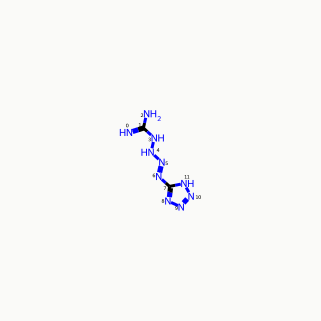 N=C(N)NNN=Nc1nnn[nH]1